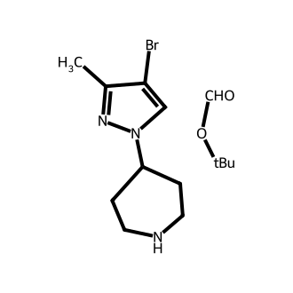 CC(C)(C)OC=O.Cc1nn(C2CCNCC2)cc1Br